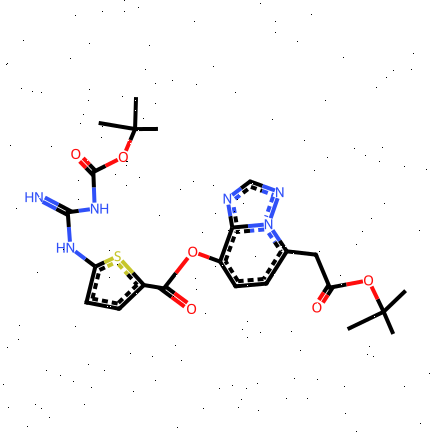 CC(C)(C)OC(=O)Cc1ccc(OC(=O)c2ccc(NC(=N)NC(=O)OC(C)(C)C)s2)c2ncnn12